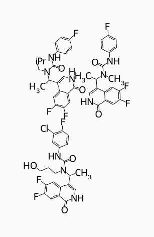 CC(C)CN(C(=O)Nc1ccc(F)cc1)C(C)c1c[nH]c(=O)c2cc(F)c(F)cc12.CC(c1c[nH]c(=O)c2cc(F)c(F)cc12)N(C)C(=O)Nc1ccc(F)cc1.CC(c1c[nH]c(=O)c2cc(F)c(F)cc12)N(CCCO)C(=O)Nc1ccc(F)c(Cl)c1